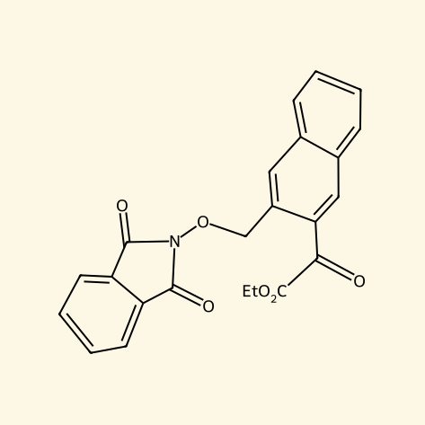 CCOC(=O)C(=O)c1cc2ccccc2cc1CON1C(=O)c2ccccc2C1=O